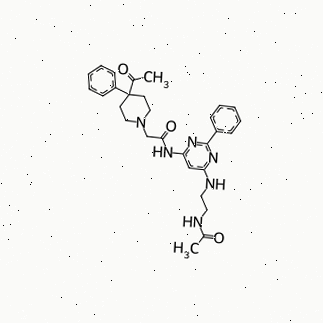 CC(=O)NCCNc1cc(NC(=O)CN2CCC(C(C)=O)(c3ccccc3)CC2)nc(-c2ccccc2)n1